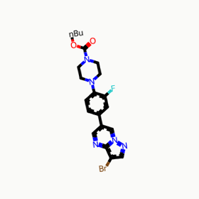 CCCCOC(=O)N1CCN(c2ccc(-c3cnc4c(Br)cnn4c3)cc2F)CC1